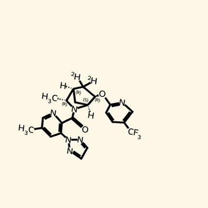 [2H]C1([2H])[C@H]2C[C@@H]([C@@H]1Oc1ccc(C(F)(F)F)cn1)N(C(=O)c1ncc(C)cc1-n1nccn1)[C@@H]2C